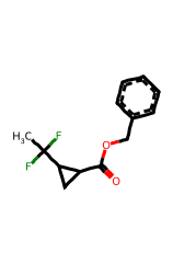 CC(F)(F)C1CC1C(=O)OCc1ccccc1